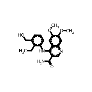 CCc1c(CO)cccc1Nc1c(C(N)=O)cnc2cc(OC)c(OC)cc12